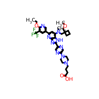 CCOc1ncc(-c2cc(N(C)CC3(COC)CCC3)c3[nH]c(-c4cnc(N5CCN(CCCC(=O)O)CC5)cn4)nc3n2)cc1C(F)(F)F